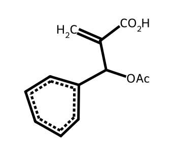 C=C(C(=O)O)C(OC(C)=O)c1ccccc1